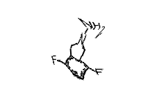 NN1Cc2c(F)ccc(F)c2C1